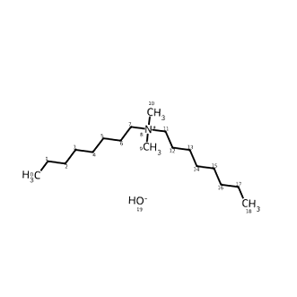 CCCCCCCC[N+](C)(C)CCCCCCCC.[OH-]